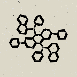 c1ccc(-c2ccc3c(N(c4ccccc4)c4cccc5ccccc45)c4cc(-c5ccccc5)ccc4c(N(c4ccccc4)c4cccc5ccccc45)c3c2)cc1